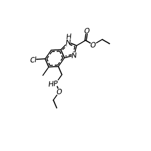 CCOPCc1c(C)c(Cl)cc2[nH]c(C(=O)OCC)nc12